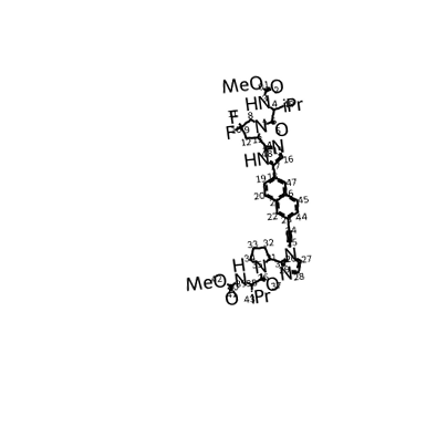 COC(=O)NC(C(=O)N1CC(F)(F)CC1c1ncc(-c2ccc3cc(C#Cn4ccnc4C4CCCN4C(=O)C(NC(=O)OC)C(C)C)ccc3c2)[nH]1)C(C)C